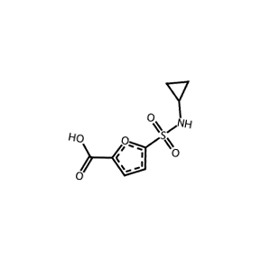 O=C(O)c1ccc(S(=O)(=O)NC2CC2)o1